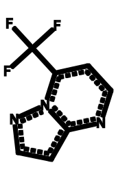 FC(F)(F)c1ccnc2ccnn12